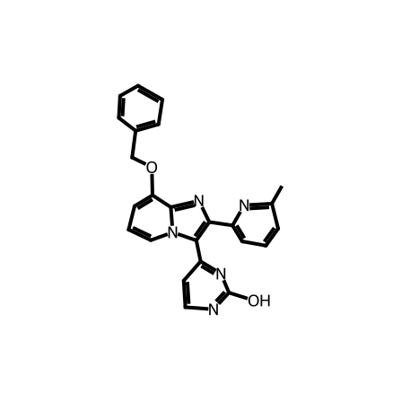 Cc1cccc(-c2nc3c(OCc4ccccc4)cccn3c2-c2ccnc(O)n2)n1